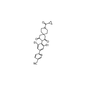 CCc1cc(-c2ccc(C#N)cn2)cc(CC)c1C1C(=O)CC2(CCN(C(=O)C3CC3)CC2)CC1=O